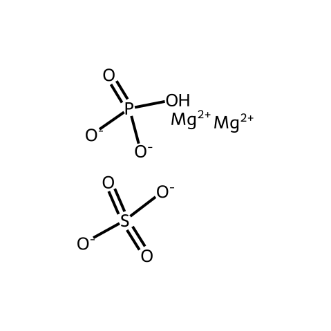 O=P([O-])([O-])O.O=S(=O)([O-])[O-].[Mg+2].[Mg+2]